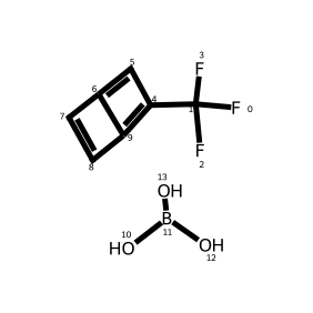 FC(F)(F)c1cc2ccc1-2.OB(O)O